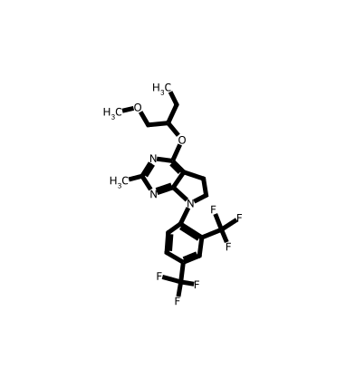 CCC(COC)Oc1nc(C)nc2c1CCN2c1ccc(C(F)(F)F)cc1C(F)(F)F